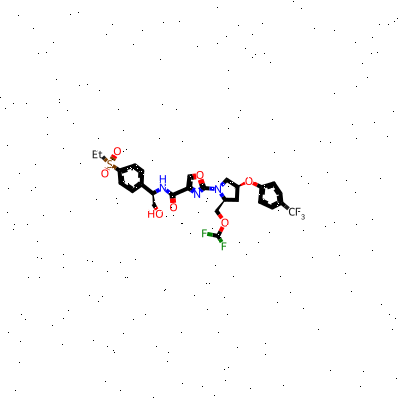 CCS(=O)(=O)c1ccc([C@H](CO)NC(=O)c2coc(N3C[C@@H](Oc4ccc(C(F)(F)F)cc4)C[C@H]3COC(F)F)n2)cc1